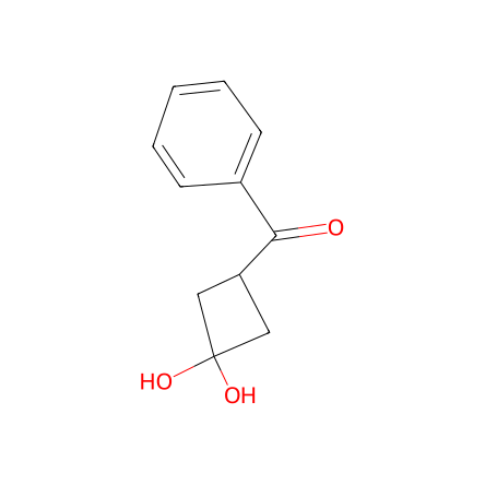 O=C(c1ccccc1)C1CC(O)(O)C1